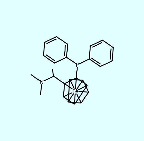 CC(N(C)C)[C]12[CH]3[CH]4[CH]5[C]1(P(c1ccccc1)c1ccccc1)[Fe]43521678[CH]2[CH]1[CH]6[CH]7[CH]28